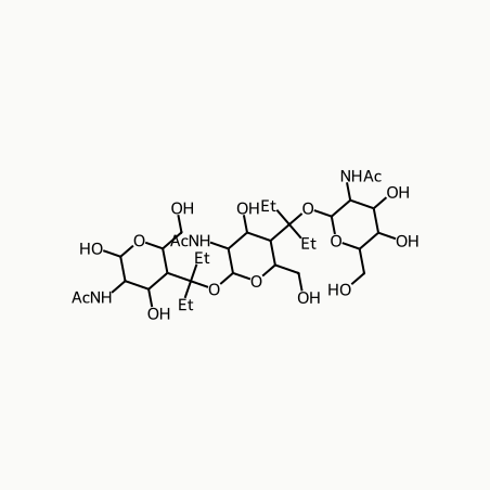 CCC(CC)(OC1OC(CO)C(C(CC)(CC)OC2OC(CO)C(O)C(O)C2NC(C)=O)C(O)C1NC(C)=O)C1C(CO)OC(O)C(NC(C)=O)C1O